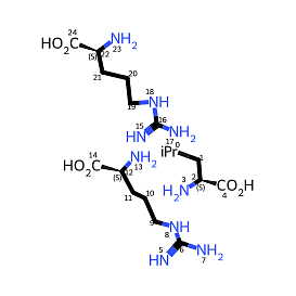 CC(C)C[C@H](N)C(=O)O.N=C(N)NCCC[C@H](N)C(=O)O.N=C(N)NCCC[C@H](N)C(=O)O